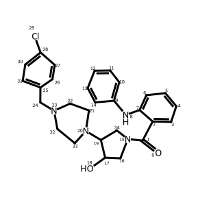 O=C(c1ccccc1Nc1ccccc1)N1CC(O)C(N2CCN(Cc3ccc(Cl)cc3)CC2)C1